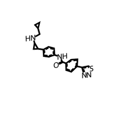 O=C(Nc1ccc(C2CC2NCC2CC2)cc1)c1ccc(-c2csnn2)cc1